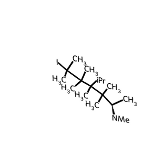 CN[C@H](C)C(C)(C)C(C)(C(C)C)C(C)(C)C(C)(C)I